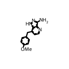 COc1ccc(Cc2ccnc3c(N)n[nH]c23)cc1